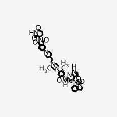 COc1cc(N2CCN(CCC3CCN(c4ccc5c(c4)C(=O)N(C4CCC(=O)NC4=O)C5=O)CC3)[C@H](C)C2)c(C)cc1Nc1nc(N2c3cccc4c3N(CC4)S2(=O)=O)c2cc[nH]c2n1